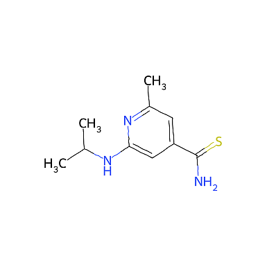 Cc1cc(C(N)=S)cc(NC(C)C)n1